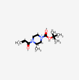 C=CC(=O)N1CCN(C(=O)OC(C)(C)C)C[C@@H]1C